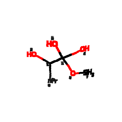 CCCC(O)C(O)(O)O[SiH3]